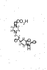 O=C(O)ON1CCN(CCC(=O)c2ccc3[nH]c(=O)oc3c2)CC1